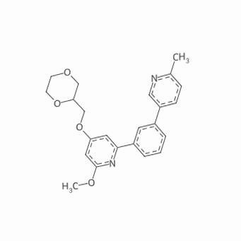 COc1cc(OCC2COCCO2)cc(-c2cccc(-c3ccc(C)nc3)c2)n1